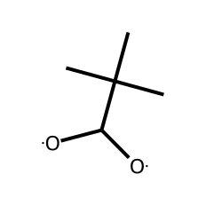 CC(C)(C)C([O])[O]